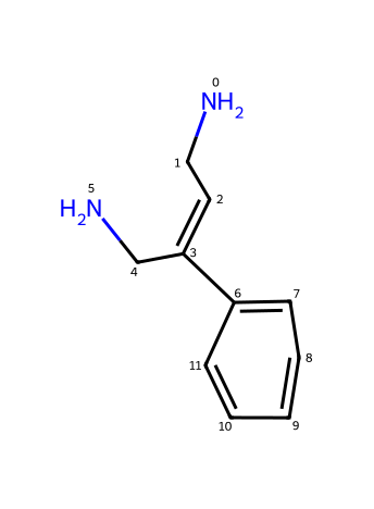 NC/C=C(\CN)c1ccccc1